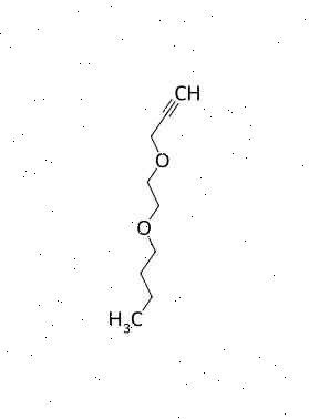 C#CCOCCOCCCC